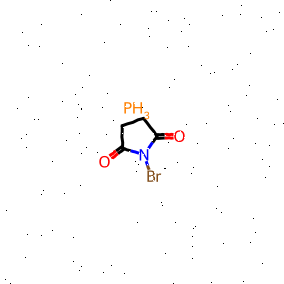 O=C1CCC(=O)N1Br.P